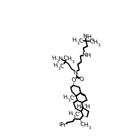 CC(C)CCC[C@@H](C)[C@H]1CC[C@H]2[C@@H]3CC=C4C[C@@H](OC(=O)N(CCCCNCCC(C)(C)N)CCC(C)(C)N)CC[C@]4(C)C3CC[C@]12C